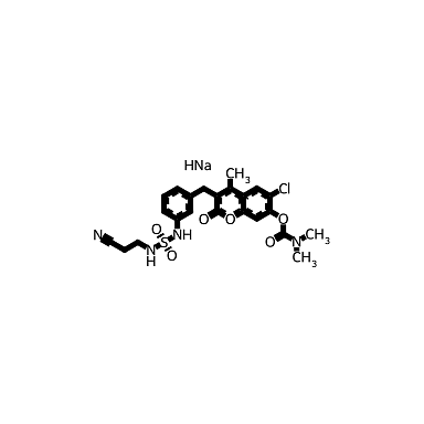 Cc1c(Cc2cccc(NS(=O)(=O)NCCC#N)c2)c(=O)oc2cc(OC(=O)N(C)C)c(Cl)cc12.[NaH]